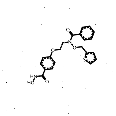 O=C(NO)c1ccc(OCCN(OCc2cccs2)C(=O)c2ccccc2)cc1